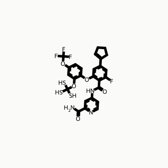 NC(=O)c1cc(NC(=O)c2c(F)cc(C3=CCCC3)cc2Oc2ccc(OC(F)(F)F)cc2OC(S)(S)S)ccn1